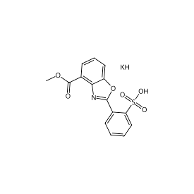 COC(=O)c1cccc2oc(-c3ccccc3S(=O)(=O)O)nc12.[KH]